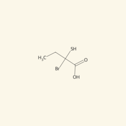 CCC(S)(Br)C(=O)O